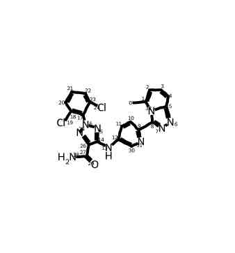 Cc1cccc2nnc(-c3ccc(Nc4nn(-c5c(Cl)cccc5Cl)nc4C(N)=O)cn3)n12